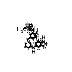 Cc1ccc(CN2CCCC(Nc3ccc4[nH]ncc4c3)C2)cc1NS(=O)(=O)N(C)C